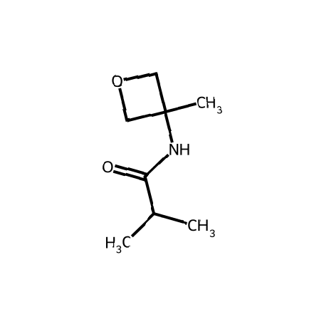 CC(C)C(=O)NC1(C)COC1